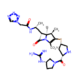 C[C@@H](NC(=O)Cn1cnnn1)[C@H]1C(=O)N2C(C(=O)O)=C(S[C@@H]3CN[C@H](C(=O)N4CC[C@H](NC(=N)N)C4)C3)[C@H](C)[C@H]12